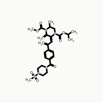 C=C(/C=C1\C(=C)N(C(=O)OC)C(C)CN1C(=O)OC(C)C)c1ccc(C(=O)N2CCN(S(C)(=O)=O)CC2)cc1